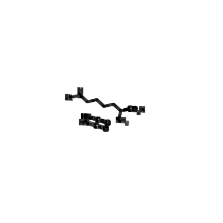 CCNCCCC[C@H](N)C(=O)O.N=C=O.N=C=O